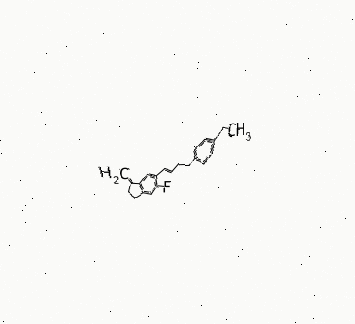 C=C1CCc2cc(F)c(/C=C/CCc3ccc(CC)cc3)cc21